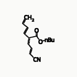 C=CC=CC(=CC=CC#N)C(=O)OCCCC